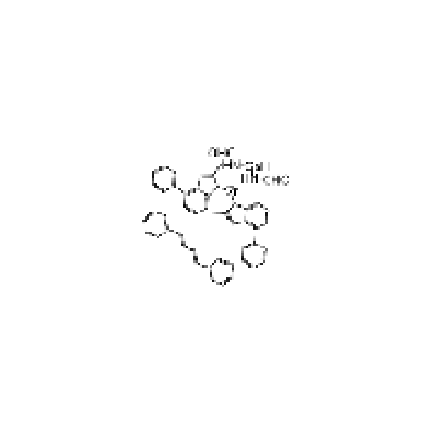 C(C=Cc1ccccc1)=Cc1ccccc1.CC1=Cc2c(-c3ccccc3)cccc2[CH]1[Zr][CH]1C(C)=Cc2c(-c3ccccc3)cccc21.O=C[NH][GaH][NH]C=O